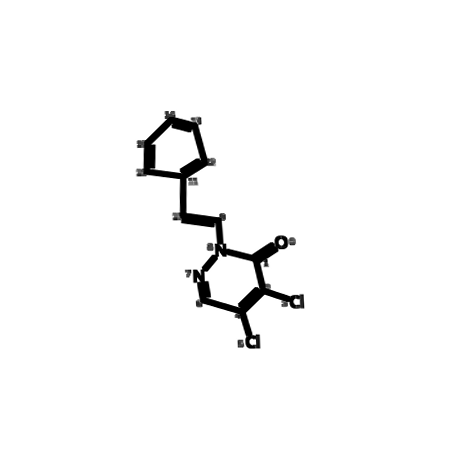 O=c1c(Cl)c(Cl)cnn1/C=C/c1ccccc1